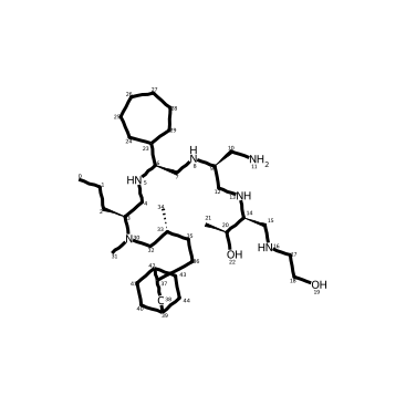 CCC[C@@H](CN[C@H](CN[C@@H](CN)CN[C@@H](CNCCO)[C@H](C)O)C1CCCCCC1)N(C)C[C@H](C)CCC1CC2CCC1CC2